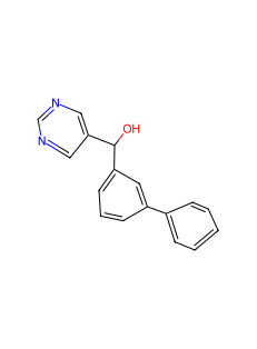 OC(c1cncnc1)c1cccc(-c2ccccc2)c1